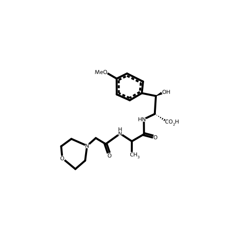 COc1ccc([C@@H](O)[C@@H](NC(=O)C(C)NC(=O)CN2CCOCC2)C(=O)O)cc1